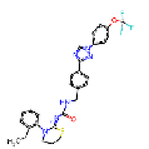 CCc1ccccc1N1CCCS/C1=N\C(=O)NCc1ccc(-c2ncn(-c3ccc(OC(F)(F)F)cc3)n2)cc1